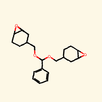 c1ccc(C(OCC2CCC3OC3C2)OCC2CCC3OC3C2)cc1